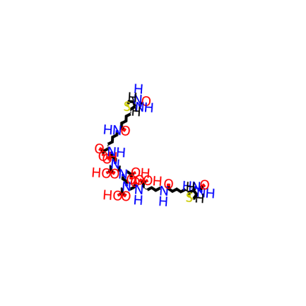 O=C(O)CN(CCN(CC(=O)O)CC(=O)N[C@@H](CCCCNC(=O)CCCC[C@@H]1SC[C@@H]2NC(=O)N[C@@H]21)C(=O)O)CCN(CC(=O)O)CC(=O)N[C@@H](CCCCNC(=O)CCCC[C@@H]1SC[C@@H]2NC(=O)N[C@@H]21)C(=O)O